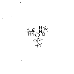 CC1(C)C(C(=O)Nc2cc(NC(=O)C3C(C)(C)C3(C)C)cc(NC(=O)C3C(C)(C)C3(C)C)c2)C1(C)C